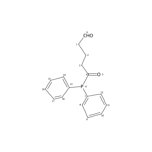 O=CCCCC(=O)P(c1ccccc1)c1ccccc1